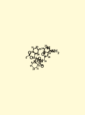 CC(=O)OC(C(=O)N1CCCCC1C(=O)NCc1cc2c(N)nccc2o1)c1ccccc1